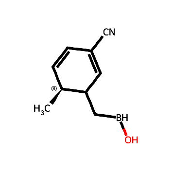 C[C@H]1C=CC(C#N)=CC1CBO